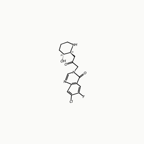 O=C(C[C@@H]1NCCC[C@H]1O)Cn1cnc2cc(Cl)c(F)cc2c1=O